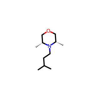 CC(C)CCN1[C@H](C)COC[C@@H]1C